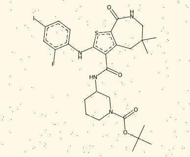 CC1(C)CNC(=O)c2sc(Nc3ccc(I)cc3F)c(C(=O)NC3CCCN(C(=O)OC(C)(C)C)C3)c2C1